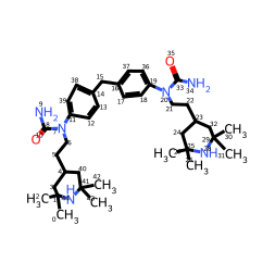 CC1(C)CC(CCN(C(N)=O)c2ccc(Cc3ccc(N(CCC4CC(C)(C)NC(C)(C)C4)C(N)=O)cc3)cc2)CC(C)(C)N1